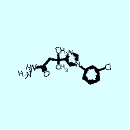 CC(C)(CC(=O)NN)c1cn(-c2cccc(Cl)c2)cn1